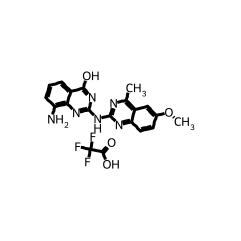 COc1ccc2nc(Nc3nc(O)c4cccc(N)c4n3)nc(C)c2c1.O=C(O)C(F)(F)F